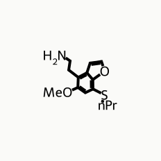 CCCSc1cc(OC)c(CCN)c2ccoc12